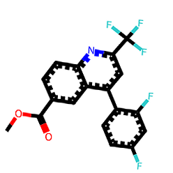 COC(=O)c1ccc2nc(C(F)(F)F)cc(-c3ccc(F)cc3F)c2c1